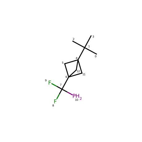 CC(C)(C)C12CC(C(F)(F)P)(C1)C2